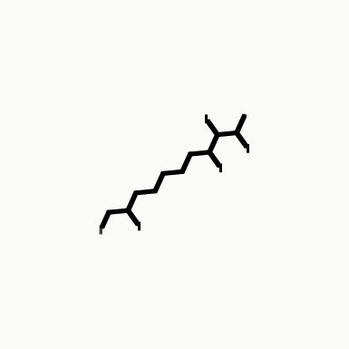 CC(I)C(I)C(I)CCCCCC(I)CI